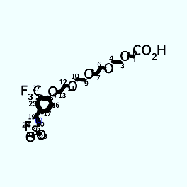 O=C(O)COCCOCCOCCOCCOc1ccc(/C=C/S(=O)(=O)F)cc1C(F)(F)F